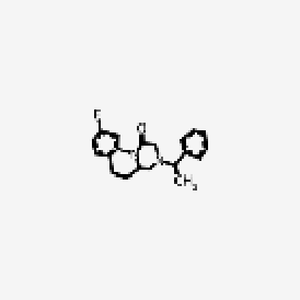 CC(c1ccccc1)N1CC(=O)N2c3cc(F)ccc3CCC2C1